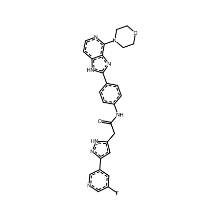 O=C(Cc1cc(-c2cncc(F)c2)n[nH]1)Nc1ccc(-c2nc3c(N4CCOCC4)nccc3[nH]2)cc1